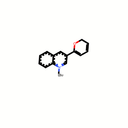 CC(C)(C)[n+]1cc(C2=CC=CCO2)cc2ccccc21